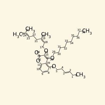 CCC=CCCOc1cccc2oc(=O)c(OCC=C(C)CCC=C(C)C)c(OCCCCCCCCCC)c12